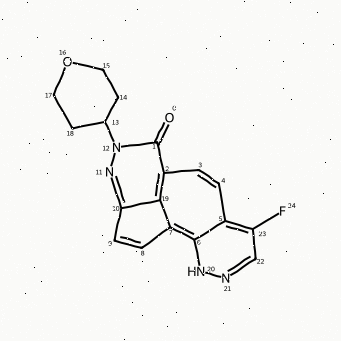 O=c1c2ccc3c(c4ccc(nn1C1CCOCC1)c2-4)NN=CC=3F